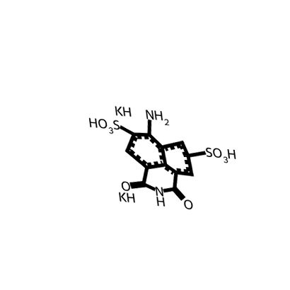 Nc1c(S(=O)(=O)O)cc2c3c(cc(S(=O)(=O)O)cc13)C(=O)NC2=O.[KH].[KH]